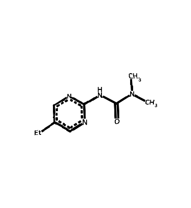 CCc1cnc(NC(=O)N(C)C)nc1